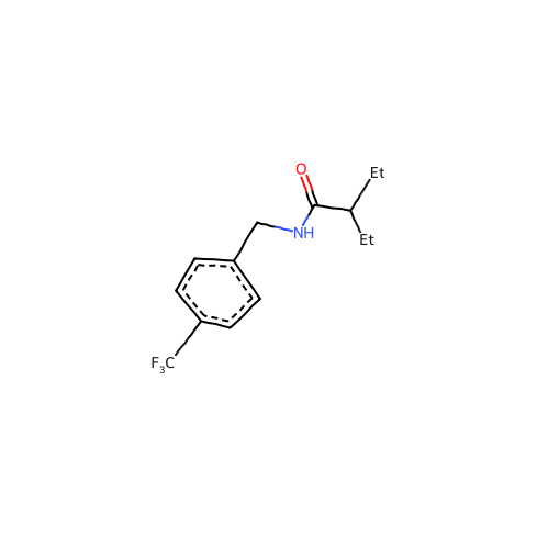 CCC(CC)C(=O)NCc1ccc(C(F)(F)F)cc1